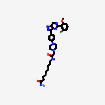 COc1cccc(F)c1-c1ncc2[nH]nc(-c3ccc(N4CCN(CC(=O)NCCCCCCCCC(N)=O)CC4)cc3)c2n1